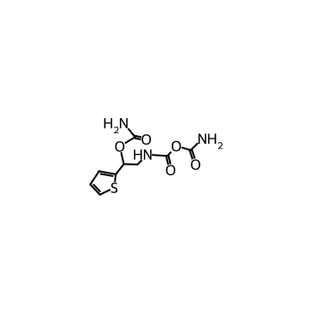 NC(=O)OC(=O)NCC(OC(N)=O)c1cccs1